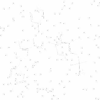 Cc1nc(-c2ccc(Cl)cc2)sc1C(CCc1ccc(OC(C)(C)C(=O)O)c(Cl)c1Cl)OCc1ccccc1